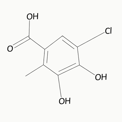 Cc1c(C(=O)O)cc(Cl)c(O)c1O